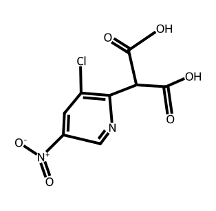 O=C(O)C(C(=O)O)c1ncc([N+](=O)[O-])cc1Cl